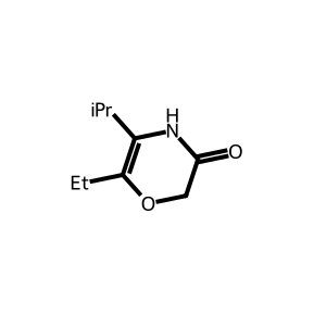 CCC1=C(C(C)C)NC(=O)CO1